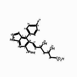 CCCC(C)c1nc2[nH]ncc2c(-c2ccc(F)cc2)c1/C=C/C(O)CC(O)CC(=O)O